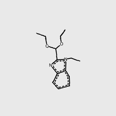 CCOC(OCC)c1nc2ccccc2n1CC